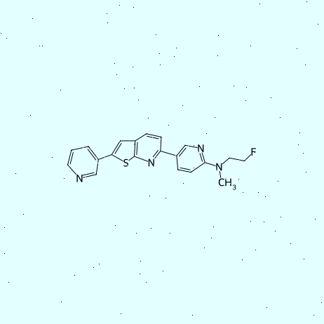 CN(CCF)c1ccc(-c2ccc3cc(-c4cccnc4)sc3n2)cn1